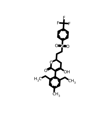 CCc1cc(C)cc(CC)c1C1=C(O)CC(CCS(=O)(=O)c2ccc(C(F)(F)F)cc2)OC1=O